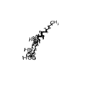 CCCCCCCCCCCCCCCCCC(=O)O.OB(O)O.OCCNCCO